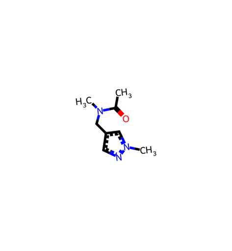 CC(=O)N(C)Cc1cnn(C)c1